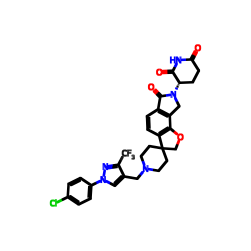 O=C1CC[C@H](N2Cc3c(ccc4c3OCC43CCN(Cc4cn(-c5ccc(Cl)cc5)nc4C(F)(F)F)CC3)C2=O)C(=O)N1